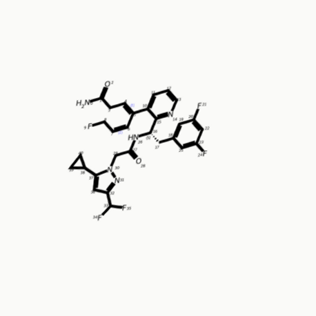 NC(=O)C/C=C(\C=C/CF)c1cccnc1[C@H](Cc1cc(F)cc(F)c1)NC(=O)Cn1nc(C(F)F)cc1C1CC1